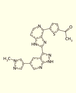 CC(=O)c1ccc(-c2nccc3[nH]c(-c4n[nH]c5ncc(-c6cnn(C)c6)cc45)nc23)s1